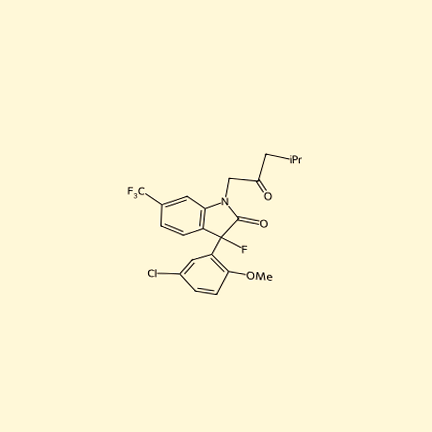 COc1ccc(Cl)cc1C1(F)C(=O)N(CC(=O)CC(C)C)c2cc(C(F)(F)F)ccc21